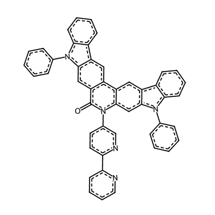 O=c1c2cc3c(cc2c2cc4c5ccccc5n(-c5ccccc5)c4cc2n1-c1ccc(-c2ccccn2)nc1)c1ccccc1n3-c1ccccc1